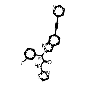 O=C(Nc1nccs1)[C@@H](c1cccc(F)c1)n1cc2ccc(C#Cc3cccnc3)cc2n1